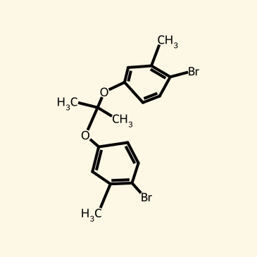 Cc1cc(OC(C)(C)Oc2ccc(Br)c(C)c2)ccc1Br